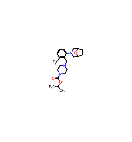 O=C(OC(C(F)(F)F)C(F)(F)F)N1CCN(Cc2c(N3CC4CCC(C3)O4)cccc2C(F)(F)F)CC1